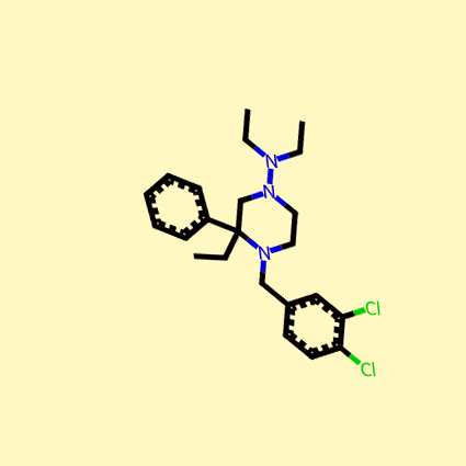 CCN(CC)N1CCN(Cc2ccc(Cl)c(Cl)c2)C(CC)(c2ccccc2)C1